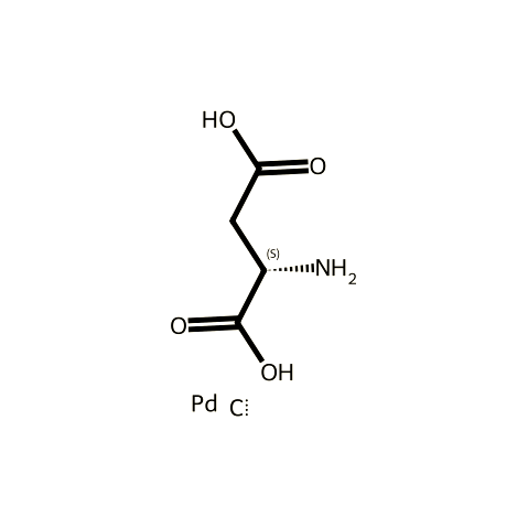 N[C@@H](CC(=O)O)C(=O)O.[C].[Pd]